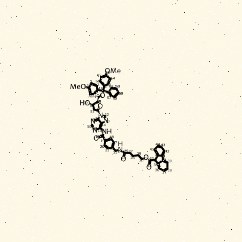 COc1ccc(C(OC[C@H]2O[C@@H](n3cnc4c(NC(=O)c5ccc(CNC(=O)CCCCOC(=O)C6c7ccccc7-c7ccccc76)cc5)ncnc43)C[C@H]2O)(c2ccccc2)c2ccc(OC)cc2)cc1